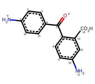 Nc1ccc(C(=O)c2ccc(N)cc2C(=O)O)cc1